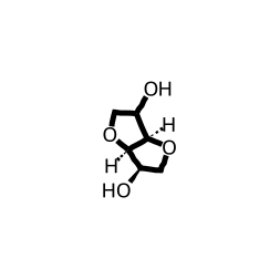 OC1CO[C@@H]2[C@H](O)CO[C@H]12